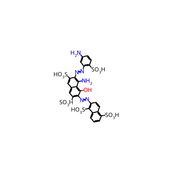 Nc1ccc(S(=O)(=O)O)c(N=Nc2c(S(=O)(=O)O)cc3cc(S(=O)(=O)O)c(N=Nc4ccc5c(S(=O)(=O)O)cccc5c4S(=O)(=O)O)c(O)c3c2N)c1